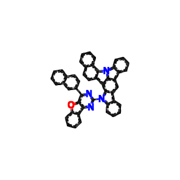 c1ccc2cc(-c3nc(-n4c5ccccc5c5cc6c7ccccc7n7c8c9ccccc9ccc8c(c54)c67)nc4c3oc3ccccc34)ccc2c1